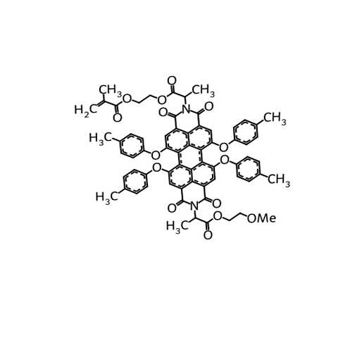 C=C(C)C(=O)OCCOC(=O)C(C)N1C(=O)c2cc(Oc3ccc(C)cc3)c3c4c(Oc5ccc(C)cc5)cc5c6c(cc(Oc7ccc(C)cc7)c(c7c(Oc8ccc(C)cc8)cc(c2c37)C1=O)c64)C(=O)N(C(C)C(=O)OCCOC)C5=O